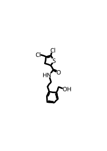 O=C(NCCc1ccccc1CO)C1CC(Cl)=C(Cl)S1